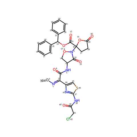 CO/N=C(\C(=O)NC1CON(C2(C(=O)OC(c3ccccc3)c3ccccc3)CCC(=O)O2)C1=O)c1csc(NC(=O)CCl)n1